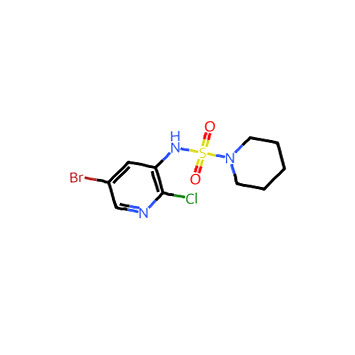 O=S(=O)(Nc1cc(Br)cnc1Cl)N1CCCCC1